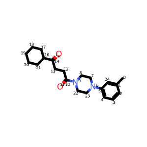 Cc1cccc(N2CCN(C(=O)CCC(=O)C3CCCCC3)CC2)c1